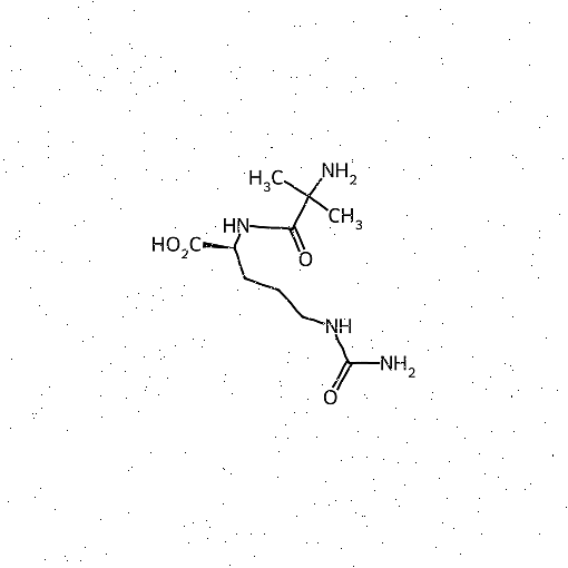 CC(C)(N)C(=O)N[C@@H](CCCNC(N)=O)C(=O)O